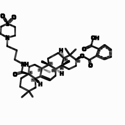 CC1(C)CC[C@]2(C(=O)NCCCN3CCS(=O)(=O)CC3)CC[C@]3(C)C(=CC[C@@H]4[C@@]5(C)CC[C@H](OC(=O)c6ccccc6C(=O)O)C(C)(C)[C@@H]5CC[C@]43C)[C@@H]2C1